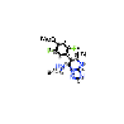 COc1cc(F)c(-c2c(C#N)nc3ncnn3c2NCC(C)C)cc1F